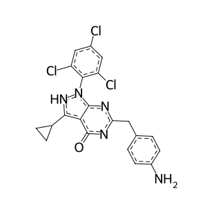 Nc1ccc(Cc2nc3n(-c4c(Cl)cc(Cl)cc4Cl)[nH]c(C4CC4)c-3c(=O)n2)cc1